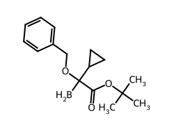 BC(OCc1ccccc1)(C(=O)OC(C)(C)C)C1CC1